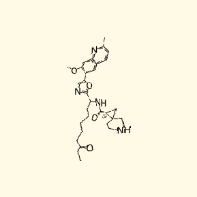 CCC(=O)CCCCCC(NC(=O)[C@H]1CC12CCNCC2)c1ncc(-c2cc3ccc(C)nc3cc2OC)o1